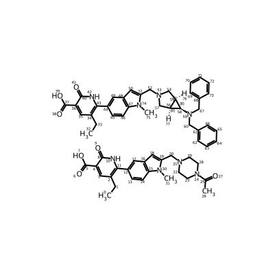 CCc1cc(C(=O)O)c(=O)[nH]c1-c1ccc2c(c1)cc(CN1CCN(C(C)=O)CC1)n2C.CCc1cc(C(=O)O)c(=O)[nH]c1-c1ccc2c(c1)cc(CN1C[C@@H]3[C@H](C1)[C@@H]3N(Cc1ccccc1)Cc1ccccc1)n2C